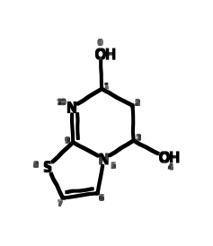 OC1CC(O)N2C=CSC2=N1